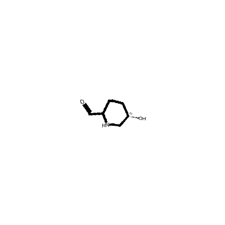 O=CC1CC[C@H](O)CN1